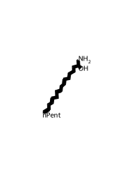 CCCCCC=CCC=CCC=CCC=CCCCCC(O)CN